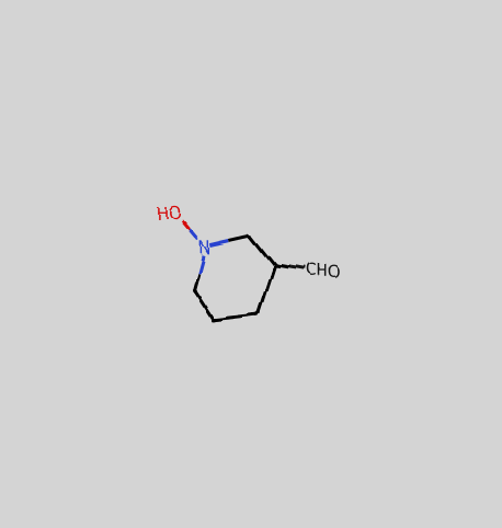 O=CC1CCCN(O)C1